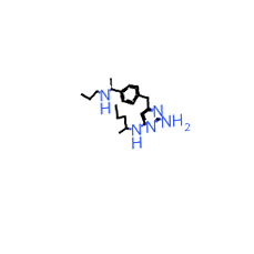 CCCN[C@@H](C)c1ccc(Cc2cc(NC(C)CCC)nc(N)n2)cc1